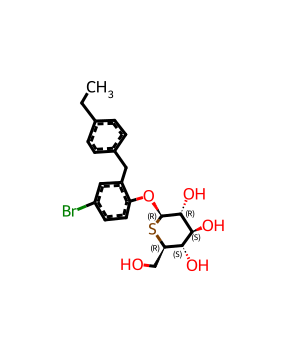 CCc1ccc(Cc2cc(Br)ccc2O[C@@H]2S[C@H](CO)[C@@H](O)[C@H](O)[C@H]2O)cc1